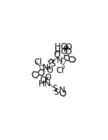 O=C(NCCSSc1ccccn1)Oc1cc2c(c3ccccc13)C(CCl)CN2C(=O)c1ccc(C(=O)N2CC(CCl)c3c2cc(OP(=O)(O)O)c2ccccc32)s1